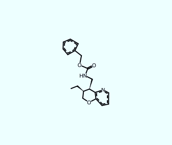 CC[C@@H]1COc2cccnc2[C@@H]1CNC(=O)OCc1ccccc1